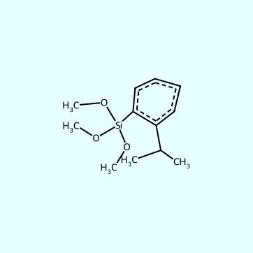 CO[Si](OC)(OC)c1ccccc1C(C)C